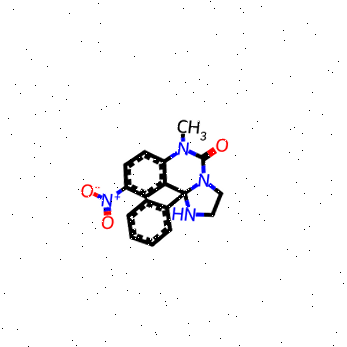 CN1C(=O)N2CCNC2(c2ccccc2)c2cc([N+](=O)[O-])ccc21